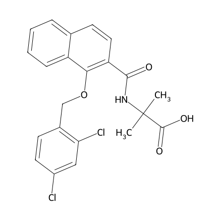 CC(C)(NC(=O)c1ccc2ccccc2c1OCc1ccc(Cl)cc1Cl)C(=O)O